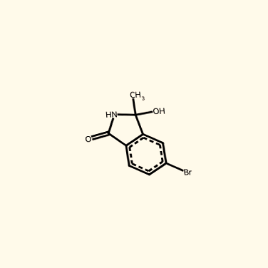 CC1(O)NC(=O)c2ccc(Br)cc21